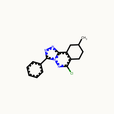 CC1CCc2c(Cl)nn3c(-c4ccccc4)nnc3c2C1